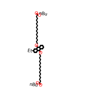 CCCCOC(=O)CCCCCCCCCCCCCCCCOc1c2ccccc2c(OCCCCCCCCCCCCCCCCC(=O)OCCCC)c2cc(CC)ccc12